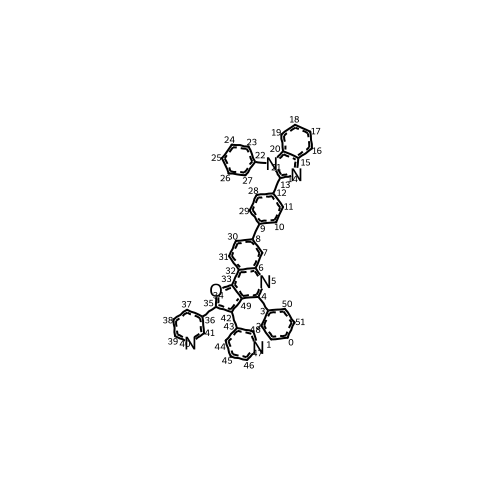 c1ccc(-c2nc3cc(-c4ccc(-c5nc6ccccc6n5-c5ccccc5)cc4)ccc3c3oc(-c4cccnc4)c(-c4cccnc4)c23)cc1